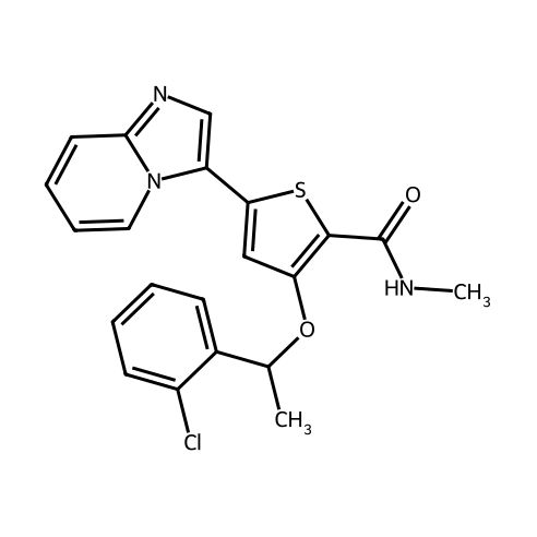 CNC(=O)c1sc(-c2cnc3ccccn23)cc1OC(C)c1ccccc1Cl